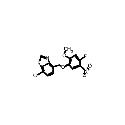 COc1cc(F)c([N+](=O)[O-])cc1OCc1ccc(Cl)c2scnc12